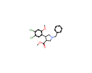 COC(=O)C1CN(Cc2ccccc2)CC1c1cc(Cl)c(Cl)cc1OC